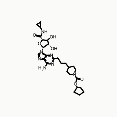 Nc1nc(CCCC2CCN(C(=O)OC3CCCC3)CC2)nc2c1ncn2[C@@H]1O[C@H](C(=O)NC2CC2)C(O)[C@@H]1O